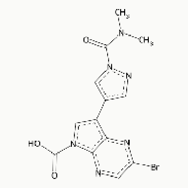 CN(C)C(=O)n1cc(-c2cn(C(=O)O)c3ncc(Br)nc23)cn1